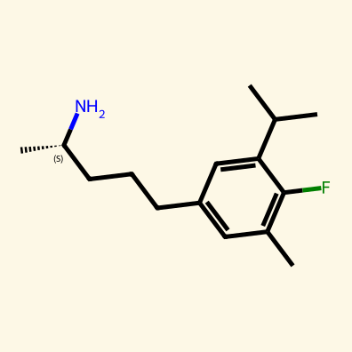 Cc1cc(CCC[C@H](C)N)cc(C(C)C)c1F